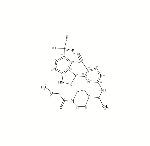 COCC(=O)N1CCC(C(C)Nc2ncc(C#N)c(C3CNc4ncc(C(F)(F)F)cc43)n2)CC1